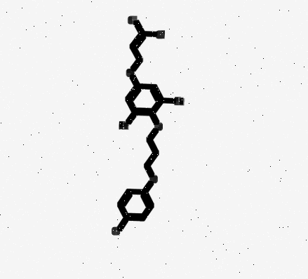 CCc1cc(OCC=C(Cl)Cl)cc(CC)c1OCCCOc1ccc(Cl)cc1